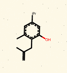 C=C(C)Cc1c(C)cc(C(C)C)cc1O